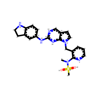 CN(c1ncccc1Cn1ccc2cnc(Nc3ccc4c(c3)CCN4)nc21)S(C)(=O)=O